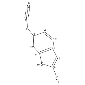 N#CCc1ccc2cc(Cl)sc2c1